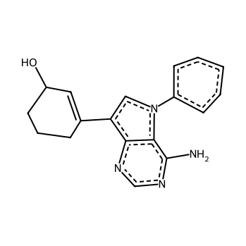 Nc1ncnc2c(C3=CC(O)CCC3)cn(-c3ccccc3)c12